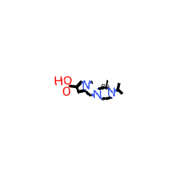 CC(C)N1CCN(Cc2cc(C(=O)O)cn2C)C[C@H]1C